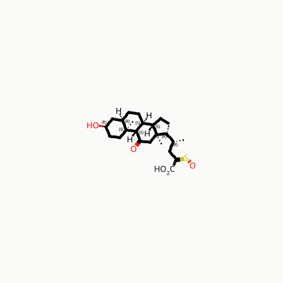 C[C@H](CC(=S=O)C(=O)O)[C@H]1CC[C@H]2[C@@H]3CC[C@@H]4C[C@H](O)CC[C@]4(C)[C@H]3C(=O)C[C@]12C